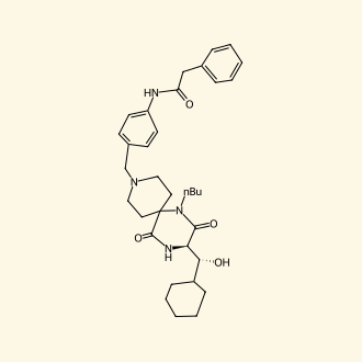 CCCCN1C(=O)[C@@H]([C@H](O)C2CCCCC2)NC(=O)C12CCN(Cc1ccc(NC(=O)Cc3ccccc3)cc1)CC2